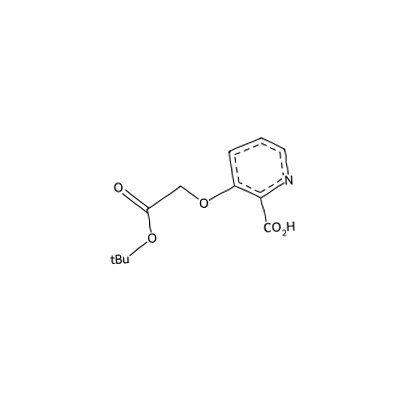 CC(C)(C)OC(=O)COc1cccnc1C(=O)O